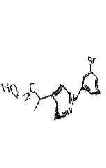 CC(C(=O)O)c1cnn(-c2cccc(Br)c2)c1